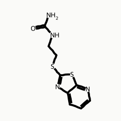 NC(=O)NCCSc1nc2cccnc2s1